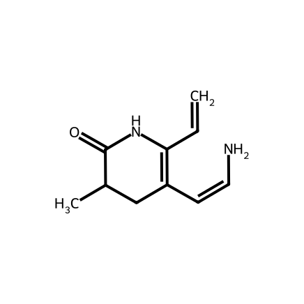 C=CC1=C(/C=C\N)CC(C)C(=O)N1